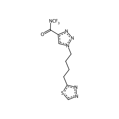 O=C(NC(F)(F)F)c1cn(CCCCc2nncs2)nn1